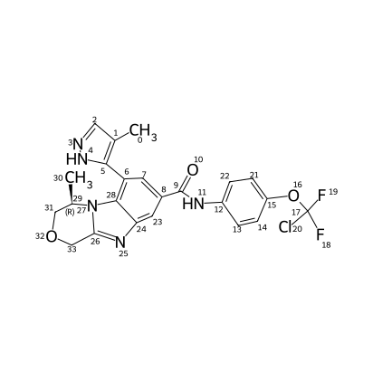 Cc1cn[nH]c1-c1cc(C(=O)Nc2ccc(OC(F)(F)Cl)cc2)cc2nc3n(c12)[C@H](C)COC3